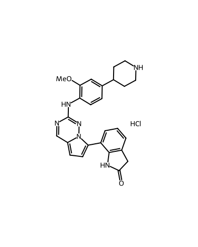 COc1cc(C2CCNCC2)ccc1Nc1ncc2ccc(-c3cccc4c3NC(=O)C4)n2n1.Cl